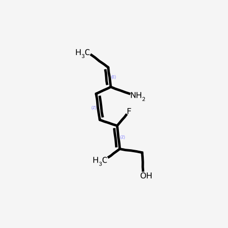 C\C=C(N)/C=C\C(F)=C(/C)CO